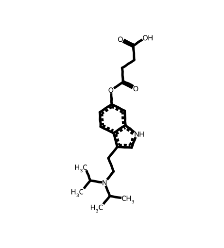 CC(C)N(CCc1c[nH]c2cc(OC(=O)CCC(=O)O)ccc12)C(C)C